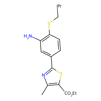 CCOC(=O)c1sc(-c2ccc(SCC(C)C)c(N)c2)nc1C